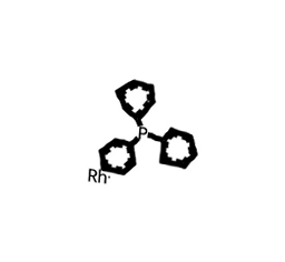 [Rh].c1ccc(P(c2ccccc2)c2ccccc2)cc1